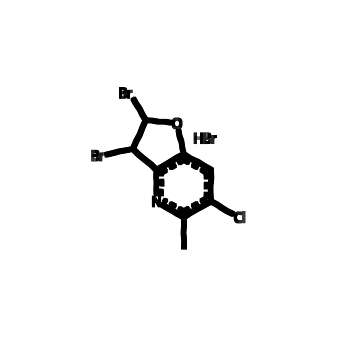 Br.Cc1nc2c(cc1Cl)OC(Br)C2Br